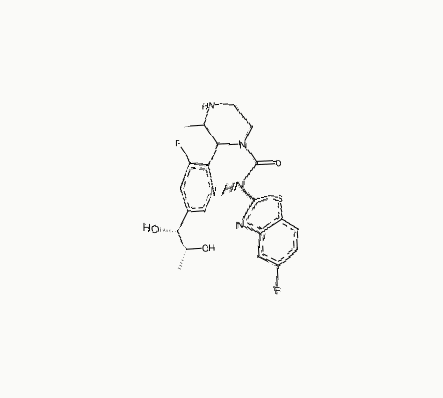 CC1NCCN(C(=O)Nc2nc3cc(F)ccc3s2)C1c1ncc([C@@H](O)[C@@H](C)O)cc1F